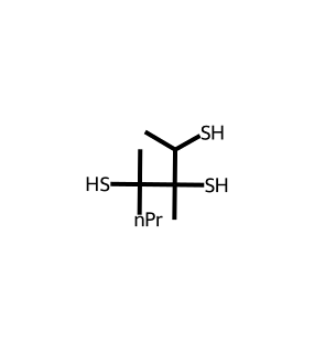 CCCC(C)(S)C(C)(S)C(C)S